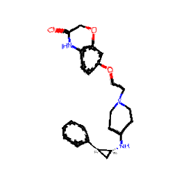 O=C1COc2cc(OCCN3CCC(N[C@@H]4C[C@H]4c4ccccc4)CC3)ccc2N1